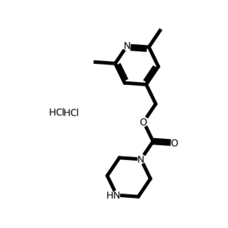 Cc1cc(COC(=O)N2CCNCC2)cc(C)n1.Cl.Cl